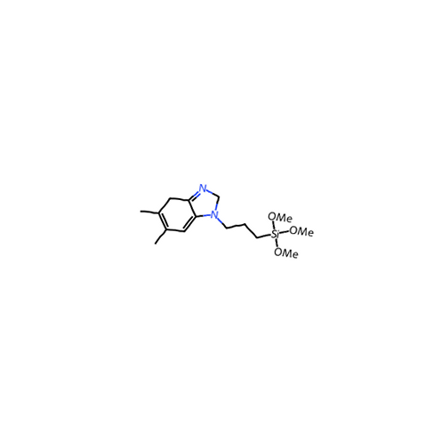 CO[Si](CCCN1CN=C2CC(C)=C(C)C=C21)(OC)OC